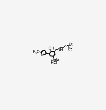 CCN(CC)CCCNCc1cc(C(C)(C)C)cc(-c2ccc(C(F)(F)F)nc2)c1O.Cl.Cl